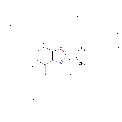 CC(C)c1nc2c(o1)CCCC2=O